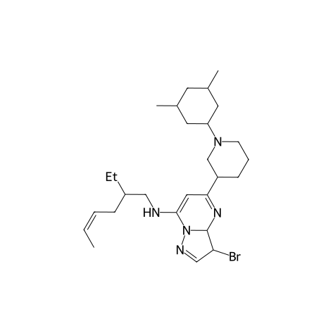 C/C=C\CC(CC)CNC1=CC(C2CCCN(C3CC(C)CC(C)C3)C2)=NC2C(Br)C=NN12